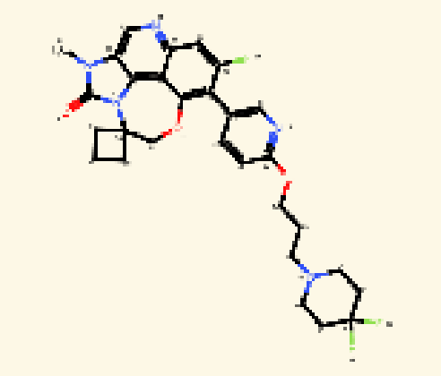 Cn1c(=O)n2c3c4c(c(-c5ccc(OCCCN6CCC(F)(F)CC6)nc5)c(F)cc4ncc31)OCC21CCC1